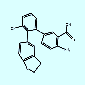 Nc1ccc(-c2cccc(Cl)c2-c2ccc3c(c2)CCO3)cc1C(=O)O